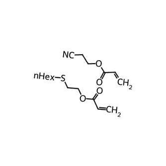 C=CC(=O)OCCC#N.C=CC(=O)OCCSCCCCCC